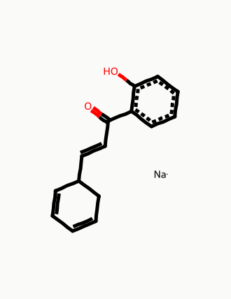 O=C(/C=C/C1C=CC=CC1)c1ccccc1O.[Na]